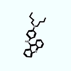 CCCCN(CCCC)c1ccc(Nc2c3ccccc3nc3ccccc23)cc1